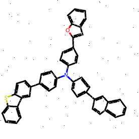 c1ccc2cc(-c3ccc(N(c4ccc(-c5ccc6sc7ccccc7c6c5)cc4)c4ccc(-c5cc6ccccc6o5)cc4)cc3)ccc2c1